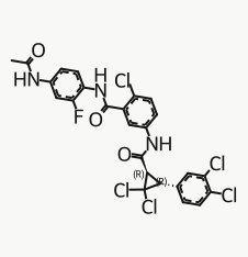 CC(=O)Nc1ccc(NC(=O)c2cc(NC(=O)[C@H]3[C@H](c4ccc(Cl)c(Cl)c4)C3(Cl)Cl)ccc2Cl)c(F)c1